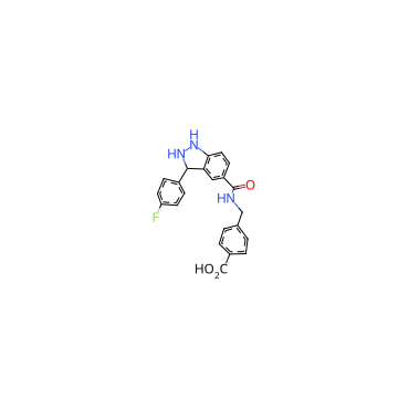 O=C(O)c1ccc(CNC(=O)c2ccc3c(c2)C(c2ccc(F)cc2)NN3)cc1